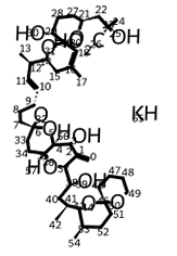 C=C1[C@@H](O)[C@@H]2O[C@]3(CC[C@H](/C=C/[C@@H](C)[C@@H]4CC(C)=C[C@@]5(O[C@H](C[C@@](C)(O)C(=O)O)CC[C@H]5O)O4)O3)CC[C@H]2O[C@@H]1[C@@H](O)C[C@H](C)[C@H]1O[C@@]2(CCCCO2)CC[C@H]1C.[KH]